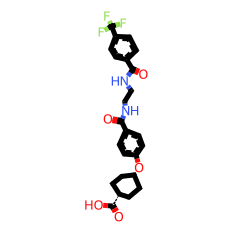 O=C(NCCNC(=O)c1ccc(C(F)(F)F)cc1)c1ccc(O[C@H]2CC[C@@H](C(=O)O)CC2)cc1